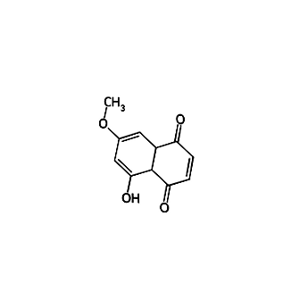 COC1=CC2C(=O)C=CC(=O)C2C(O)=C1